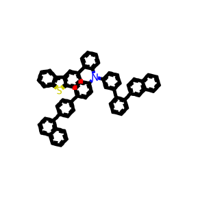 c1cc(-c2ccccc2-c2ccc3ccccc3c2)cc(N(c2ccc(-c3ccc(-c4cccc5ccccc45)cc3)cc2)c2ccccc2-c2ccc3sc4ccccc4c3c2)c1